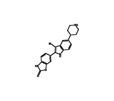 CCc1c(-c2ccc3[nH]c(=O)oc3c2)[nH]c2ccc(C3CCNCC3)cc12